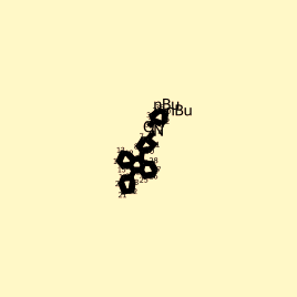 CCCCc1cc2nc(-c3ccc(-c4c5ccccc5c(-c5ccccc5)c5ccccc45)cc3)oc2cc1CCCC